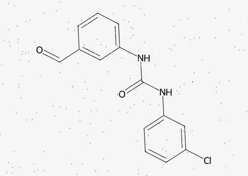 O=Cc1cccc(NC(=O)Nc2cccc(Cl)c2)c1